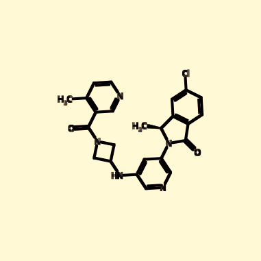 Cc1ccncc1C(=O)N1CC(Nc2cncc(N3C(=O)c4ccc(Cl)cc4[C@@H]3C)c2)C1